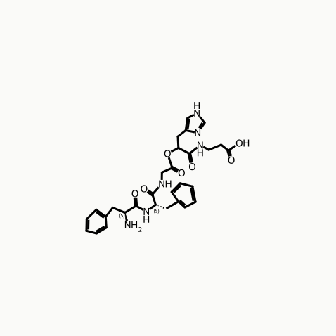 N[C@@H](Cc1ccccc1)C(=O)N[C@@H](Cc1ccccc1)C(=O)NCC(=O)OC(Cc1c[nH]cn1)C(=O)NCCC(=O)O